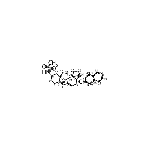 C[C@]12CC=C3C=C4CC[C@H](NS(C)(=O)=O)CC45CC[C@]3(O5)[C@@H]1CC[C@@H]2c1ccc2ccncc2c1